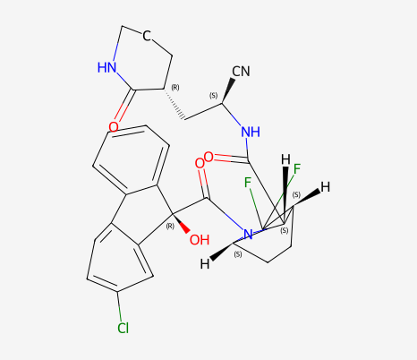 N#C[C@H](C[C@H]1CCCNC1=O)NC(=O)[C@@H]1[C@@H]2CC[C@@H](CC2(F)F)N1C(=O)[C@@]1(O)c2ccccc2-c2ccc(Cl)cc21